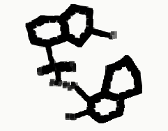 Nc1c(O)ccc2ccccc12.O=S(=O)(O)c1cccc2ccc(Cl)cc12